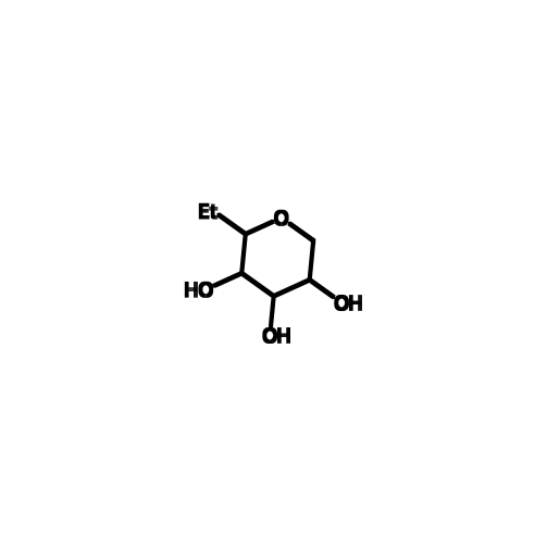 CCC1OCC(O)C(O)C1O